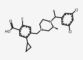 CC(c1cc(Cl)cc(Cl)c1)N1CCN(Cc2cc(F)c(C(=O)O)cc2C2CC2)C[C@@H]1C